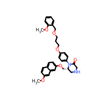 COc1ccc2ccc(OC[C@H]3CNCC(=O)N3c3ccc(OCCCOCc4ccccc4OC)cc3)cc2c1